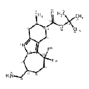 C[C@@H]1Cc2nn3c(c2CN1C(=O)OC(C)(C)C)C(F)(F)CCC(CN)C3